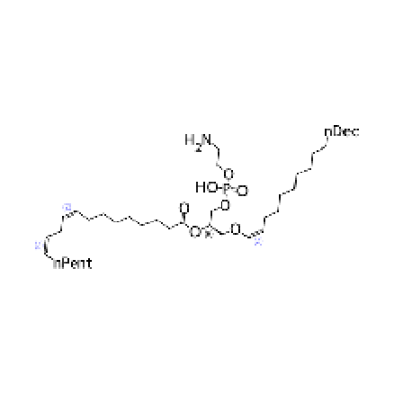 CCCCC/C=C\C/C=C\CCCCCCCC(=O)O[C@H](CO/C=C\CCCCCCCCCCCCCCCCCC)COP(=O)(O)OCCN